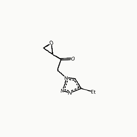 CCc1cn(CC(=O)C2CO2)nn1